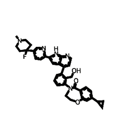 CN1CCC(F)(c2ccc(-c3cc4c(-c5cccc(N6CCOc7cc(C8CC8)ccc7C6=O)c5CO)ccnc4[nH]3)nc2)CC1